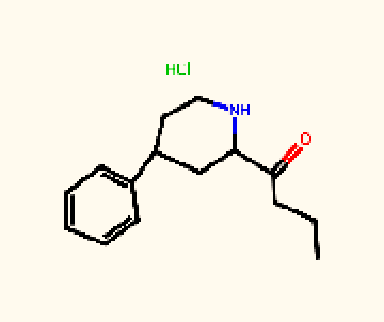 CCCC(=O)C1CC(c2ccccc2)CCN1.Cl